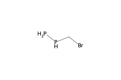 PPCBr